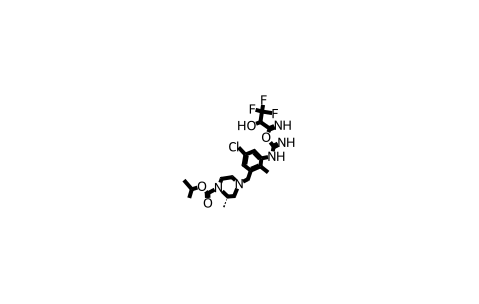 Cc1c(CN2CCN(C(=O)OC(C)C)[C@@H](C)C2)cc(Cl)cc1NC(=N)OC(=N)C(O)C(F)(F)F